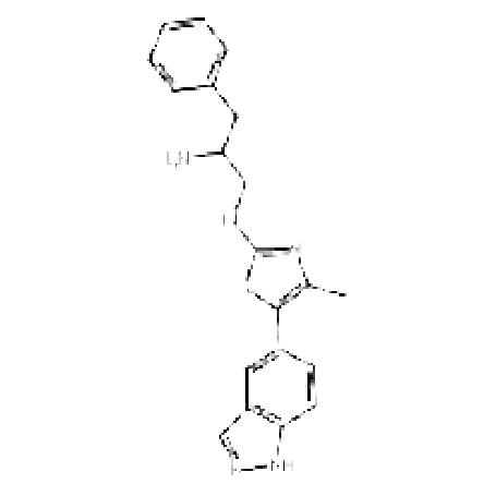 Cc1nc(NCC(N)Cc2ccccc2)sc1-c1ccc2[nH]ncc2c1